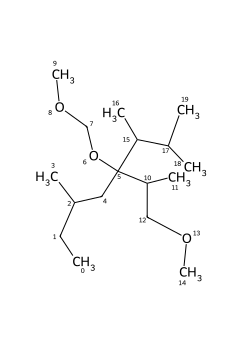 CCC(C)CC(OCOC)(C(C)COC)C(C)C(C)C